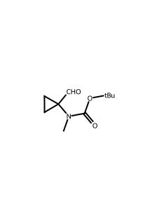 CN(C(=O)OC(C)(C)C)C1(C=O)CC1